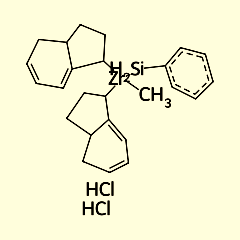 Cl.Cl.[CH3][Zr]([SiH2]c1ccccc1)([CH]1CCC2CC=CC=C21)[CH]1CCC2CC=CC=C21